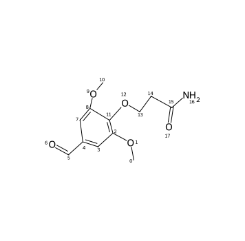 COc1cc(C=O)cc(OC)c1OCCC(N)=O